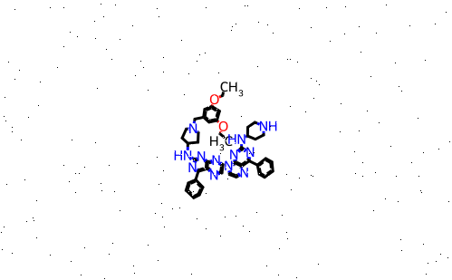 CCOc1cc(CN2CCC(Nc3nc(-c4ccccc4)c4nccnc4n3)CC2)cc(OCC)c1.c1ccc(-c2nc(NC3CCNCC3)nc3nccnc23)cc1